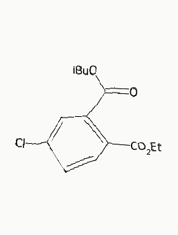 CCOC(=O)c1ccc(Cl)cc1C(=O)OCC(C)C